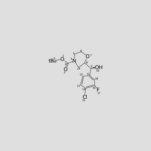 CC(C)(C)OC(=O)N1CCOC([C@@H](O)c2ccc(Cl)c(F)c2)C1